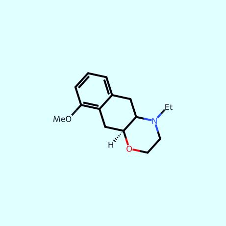 CCN1CCO[C@H]2Cc3c(cccc3OC)CC21